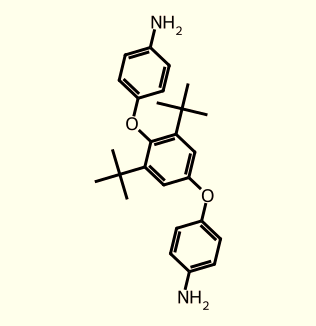 CC(C)(C)c1cc(Oc2ccc(N)cc2)cc(C(C)(C)C)c1Oc1ccc(N)cc1